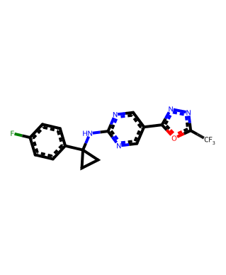 Fc1ccc(C2(Nc3ncc(-c4nnc(C(F)(F)F)o4)cn3)CC2)cc1